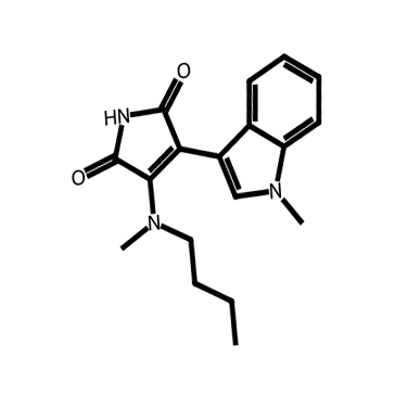 CCCCN(C)C1=C(c2cn(C)c3ccccc23)C(=O)NC1=O